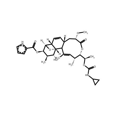 CO[C@H]1C[C@H]2C=C[C@H]3[C@H]4O[C@]2(/C(C)=C/[C@@H](C)[C@@H]([C@@H](C)OC(=O)NC2CC2)OC1=O)[C@@H]3[C@H](O)[C@@H](C)[C@H]4OC(=O)c1ccc[nH]1